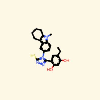 CCc1cc(-c2nnc(S)n2-c2ccc3c(c2)c2c(n3C)CCCC2)c(O)cc1O